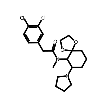 CN(C(=O)Cc1ccc(Cl)c(Cl)c1)C1C(N2CCCC2)CCCC12OCCO2